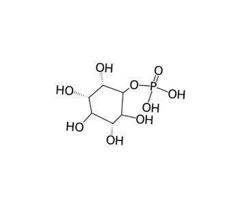 O=P(O)(O)OC1C(O)[C@H](O)C(O)[C@H](O)[C@@H]1O